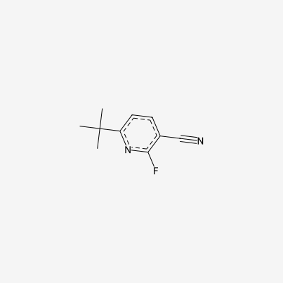 CC(C)(C)c1ccc(C#N)c(F)n1